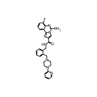 Nc1nc2c(F)cccc2c2nc(C(=O)NCc3ccccc3CN3CCN(c4ccccn4)CC3)cn12